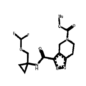 CC(C)(C)OC(=O)N1CCc2onc(C(=O)NC3(COC(F)F)CC3)c2C1